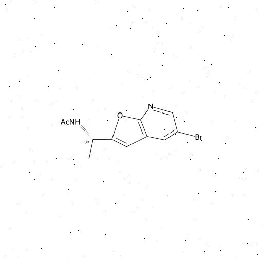 CC(=O)N[C@@H](C)c1cc2cc(Br)cnc2o1